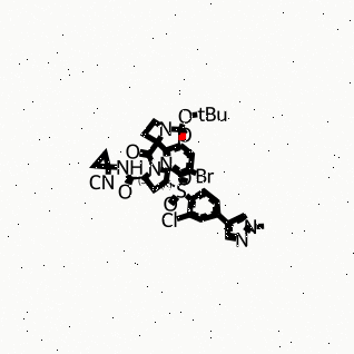 Cn1cc(-c2ccc(S(=O)(=O)[C@@H]3C[C@@H](C(=O)NC4(C#N)CC4)N(C(=O)C4(c5ncc(Br)cc5F)CCN4C(=O)OC(C)(C)C)C3)c(Cl)c2)cn1